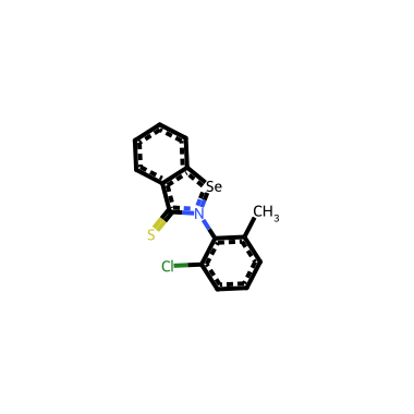 Cc1cccc(Cl)c1-n1[se]c2ccccc2c1=S